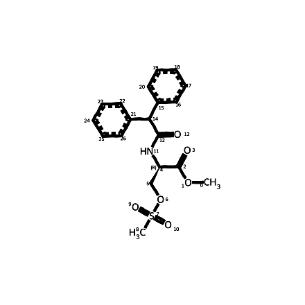 COC(=O)[C@@H](COS(C)(=O)=O)NC(=O)C(c1ccccc1)c1ccccc1